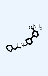 NC(=O)c1cccc(-c2ccc(CNCCCC3CCCCC3)cc2)c1